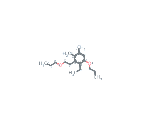 [CH2]c1cc(OCCC)c(CC)c(CCOCCC)c1[CH2]